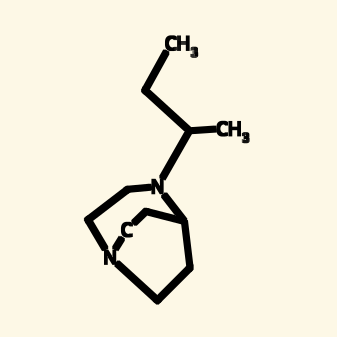 CCC(C)N1CCN2CCC1CC2